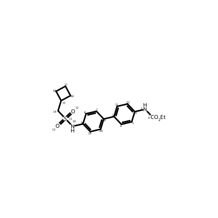 CCOC(=O)Nc1ccc(-c2ccc(NS(=O)(=O)CC3CCC3)cc2)cc1